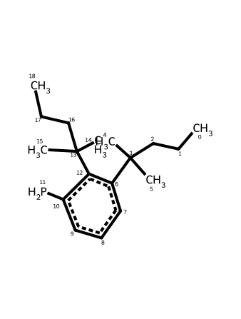 CCCC(C)(C)c1cccc(P)c1C(C)(C)CCC